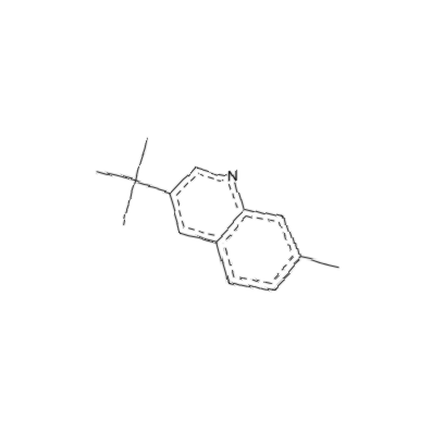 Cc1ccc2cc(C(C)(C)C)cnc2c1